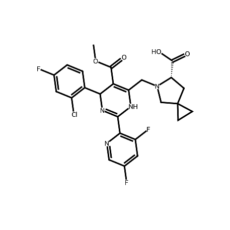 COC(=O)C1=C(CN2CC3(CC3)C[C@H]2C(=O)O)NC(c2ncc(F)cc2F)=NC1c1ccc(F)cc1Cl